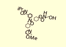 COc1ccc([C@H]2CC[C@H](CN(c3cccc(-c4coc(C(C)C)n4)c3)C(=O)[C@H]3CC[C@H](OC(=O)NCCO)CC3)CC2)nc1C